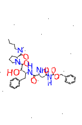 CCCCN(C)C(=O)[C@@H]1CCCN1C(=O)C(O)C(Cc1ccccc1)NC(=O)[C@@H](N)CC(=O)NC(=O)OCc1ccccc1